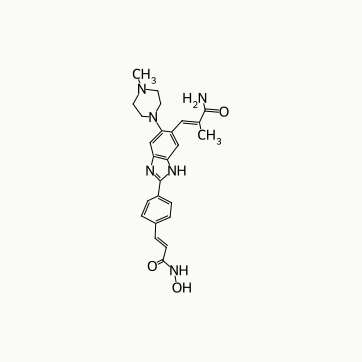 C/C(=C\c1cc2[nH]c(-c3ccc(/C=C/C(=O)NO)cc3)nc2cc1N1CCN(C)CC1)C(N)=O